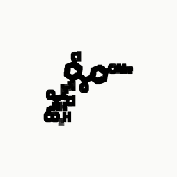 COc1ccc(C(=O)c2cc(Cl)ccc2N=NC(Cl)C(=O)NCC(=O)O)cc1